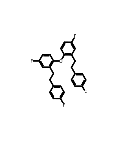 Fc1ccc(CCc2cc(F)ccc2Oc2ccc(F)cc2CCc2ccc(F)cc2)cc1